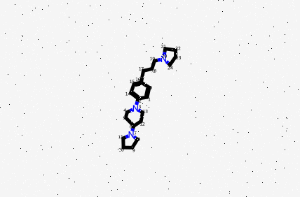 c1cc(N2CCC(N3CCCC3)CC2)ccc1CCCN1CCCC1